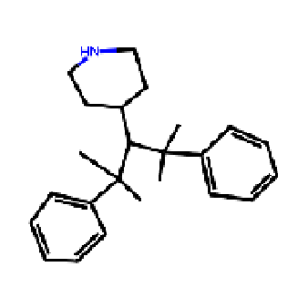 CC(C)(c1ccccc1)C(C1CCNCC1)C(C)(C)c1ccccc1